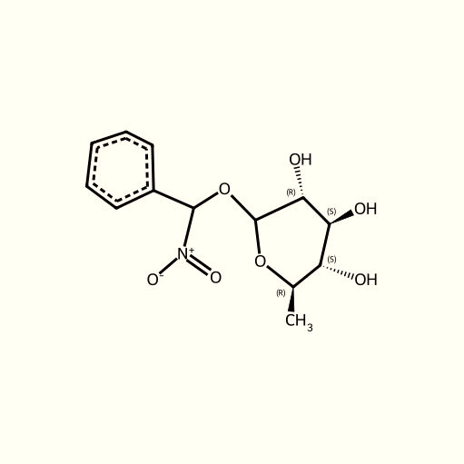 C[C@H]1OC(OC(c2ccccc2)[N+](=O)[O-])[C@H](O)[C@@H](O)[C@@H]1O